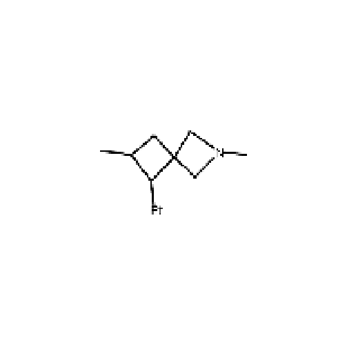 CCC1C(C)CC12CN(C)C2